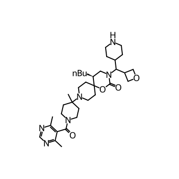 CCCC[C@H]1CN(C(C2CCNCC2)C2COC2)C(=O)OC12CCN(C1(C)CCN(C(=O)c3c(C)ncnc3C)CC1)CC2